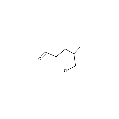 CC(CCl)CCC=O